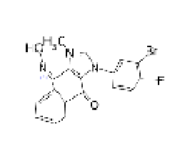 C[n+]1cn(-c2ccc(F)c(Br)c2)c2c1/C(=N\O)c1ccccc1C2=O